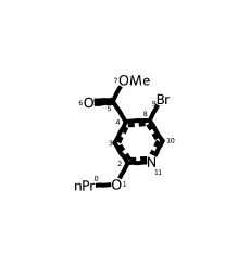 CCCOc1cc(C(=O)OC)c(Br)cn1